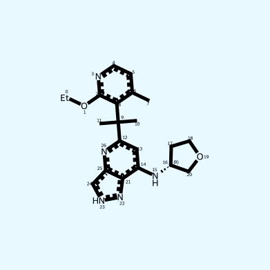 CCOc1nccc(C)c1C(C)(C)c1cc(N[C@@H]2CCOC2)c2n[nH]cc2n1